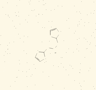 O=[PH](OC1SC=CS1)OC1SC=CS1